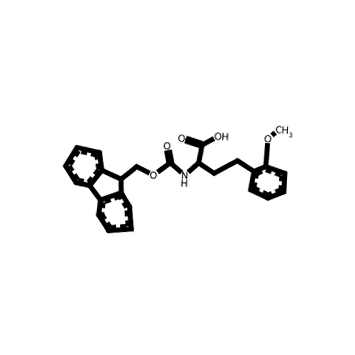 COc1ccccc1CCC(NC(=O)OCC1c2ccccc2-c2ccccc21)C(=O)O